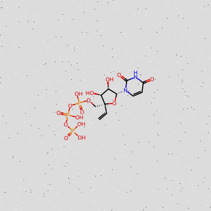 C=C[C@]1(COP(=O)(O)OP(=O)(O)OP(=O)(O)O)O[C@@H](n2ccc(=O)[nH]c2=O)[C@H](O)[C@@H]1O